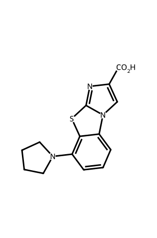 O=C(O)c1cn2c(n1)sc1c(N3CCCC3)cccc12